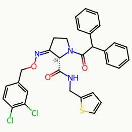 O=C(NCc1cccs1)[C@@H]1C(=NOCc2ccc(Cl)c(Cl)c2)CCN1C(=O)C(c1ccccc1)c1ccccc1